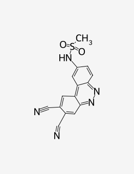 CS(=O)(=O)Nc1ccc2nnc3cc(C#N)c(C#N)cc3c2c1